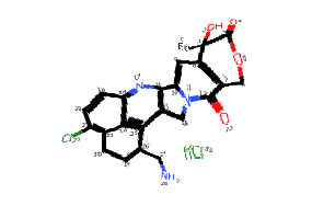 CC[C@@]1(O)C(=O)OCc2c1cc1n(c2=O)Cc2c-1nc1ccc(Cl)c3c1c2C(CN)CC3.Cl